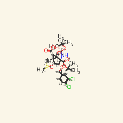 C=S(C)O[C@@H]1[C@H]2[C@H](C(=O)O)[C@H]2[C@](NC(=O)OC(C)(C)C)(C(=O)OC(C)(C)C)[C@@H]1OCc1ccc(Cl)c(Cl)c1